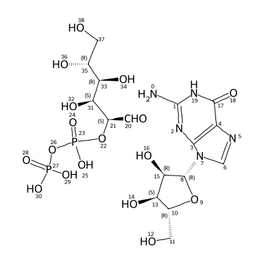 Nc1nc2c(ncn2[C@@H]2O[C@H](CO)[C@@H](O)[C@H]2O)c(=O)[nH]1.O=C[C@@H](OP(=O)(O)OP(=O)(O)O)[C@@H](O)[C@H](O)[C@H](O)CO